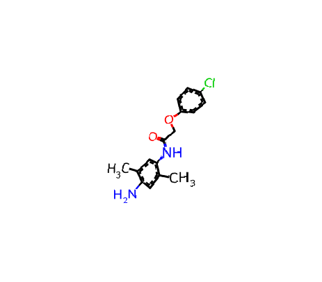 Cc1cc(NC(=O)COc2ccc(Cl)cc2)c(C)cc1N